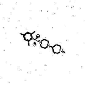 Cc1cc(C)c(S(=O)(=O)N2CCN(C3CCN(C)CC3)CC2)c(C)c1